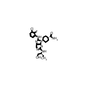 CC[C@@H](CO)Nc1ncc2nc(Nc3cccc(Cl)c3F)n([C@H]3CC[C@@H](C(N)=O)CC3)c2n1